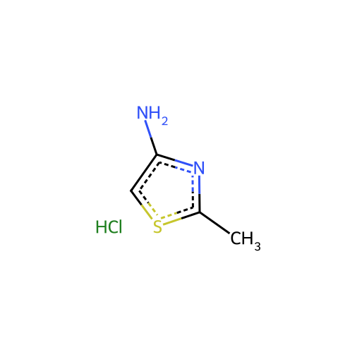 Cc1nc(N)cs1.Cl